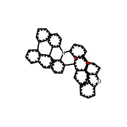 c1ccc(-c2cccc3cccc(-c4ccccc4N(c4cccc(-c5ccc6oc7ccccc7c6c5)c4)c4ccccc4-c4cccc5ccccc45)c23)cc1